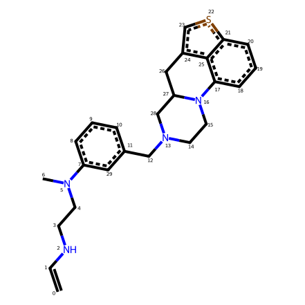 C=CNCCN(C)c1cccc(CN2CCN3c4cccc5scc(c45)CC3C2)c1